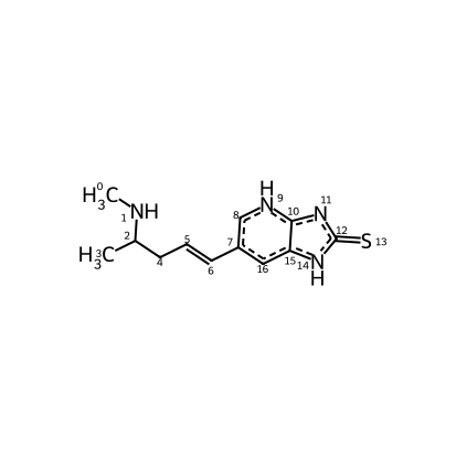 CNC(C)C/C=C/c1c[nH]c2nc(=S)[nH]c-2c1